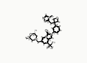 C[C@@H]1CN(Cc2cc(C(F)(F)F)c3cn(-c4cccc(C5(Cc6nncn6C)COC5)c4)c(=O)n3c2)C[C@@H](C)O1